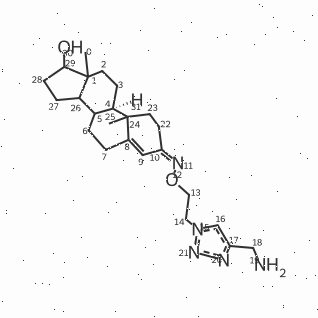 CC12CC[C@@H]3C(CCC4=CC(=NOCCn5cc(CN)nn5)CCC43C)C1CCC2O